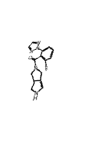 O=C(c1c(F)cccc1-n1nccn1)N1CC2=CNCC2C1